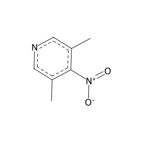 Cc1cncc(C)c1[N+](=O)[O-]